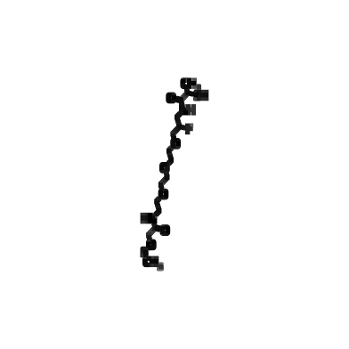 CSOCC(=O)NCCOCCOCCOCC(F)CNC(=O)C(C)S